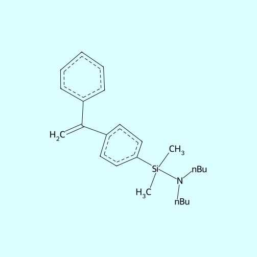 C=C(c1ccccc1)c1ccc([Si](C)(C)N(CCCC)CCCC)cc1